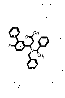 CC(c1ccccc1)N(Cc1ccccc1)C(CC(=O)O)c1ccc(F)c(-c2ccccc2)c1